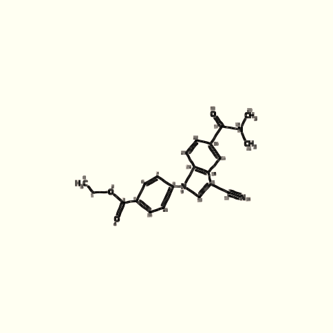 CCOC(=O)c1ccc(-n2cc(C#N)c3cc(C(=O)N(C)C)ccc32)cc1